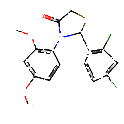 COc1ccc(N2C(=O)CSC2c2ccc(F)cc2Cl)c(OC)c1